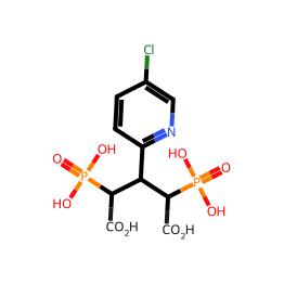 O=C(O)C(C(c1ccc(Cl)cn1)C(C(=O)O)P(=O)(O)O)P(=O)(O)O